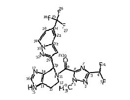 Cn1nc(C(F)F)nc1C(=O)N1CCc2[nH]cnc2C1c1cc2cc(C(F)(F)F)ccn2n1